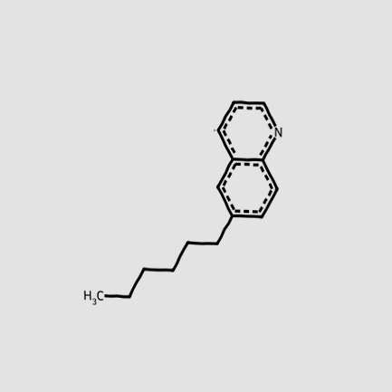 CCCCCCc1ccc2ncc[c]c2c1